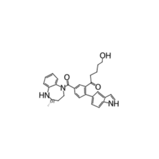 C[C@H]1CCN(C(=O)c2ccc(-c3ccc4[nH]ccc4c3)c(C(=O)CCCCO)c2)c2ccccc2N1